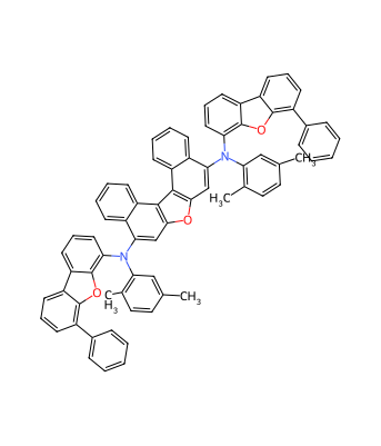 Cc1ccc(C)c(N(c2cc3oc4cc(N(c5cc(C)ccc5C)c5cccc6c5oc5c(-c7ccccc7)cccc56)c5ccccc5c4c3c3ccccc23)c2cccc3c2oc2c(-c4ccccc4)cccc23)c1